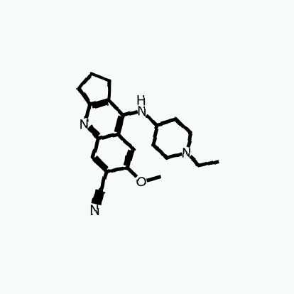 CCN1CCC(Nc2c3c(nc4cc(C#N)c(OC)cc24)CCC3)CC1